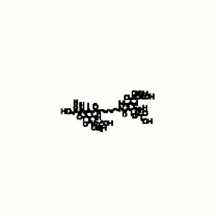 CN(CC(O)CO)C(=O)c1c(I)c(NC(=O)C(O)CO)c(I)c(C(=O)NCCCCCCNC(=O)c2c(I)c(NC(=O)C(O)CO)c(I)c(C(=O)N(C)CC(O)CO)c2I)c1I